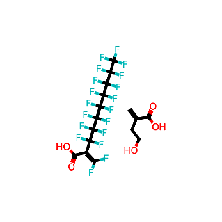 C=C(CCO)C(=O)O.O=C(O)C(=C(F)F)C(F)(F)C(F)(F)C(F)(F)C(F)(F)C(F)(F)C(F)(F)C(F)(F)C(F)(F)F